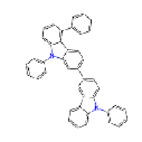 c1ccc(-c2cccc3c2c2ccc(-c4ccc5c(c4)c4ccccc4n5-c4ccccc4)cc2n3-c2ccccc2)cc1